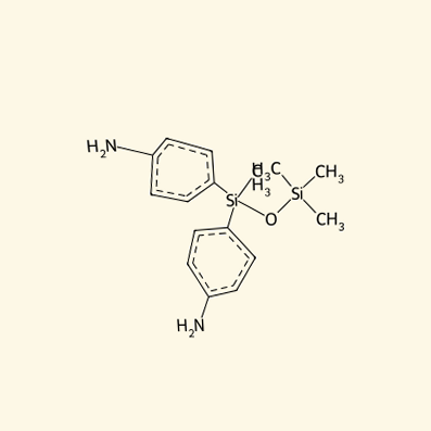 C[Si](C)(C)O[Si](C)(c1ccc(N)cc1)c1ccc(N)cc1